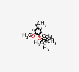 CCc1ccc(OC(C)(C)C(C)(C)C)c(OC)c1